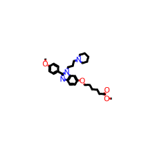 COC(=O)CCCCCOc1ccc2nc(-c3ccc(OC)cc3)n(CCCN3CCCCC3)c2c1